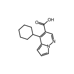 O=C(O)c1cnn2cccc2c1C1CCCCC1